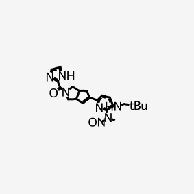 CN(N=O)c1nc(C2=CC3CN(C(=O)c4ncc[nH]4)CC3C2)ccc1NCC(C)(C)C